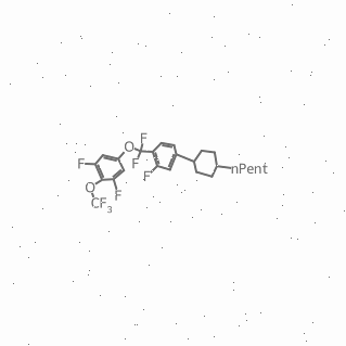 CCCCCC1CCC(c2ccc(C(F)(F)Oc3cc(F)c(OC(F)(F)F)c(F)c3)c(F)c2)CC1